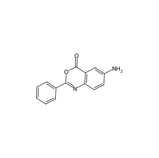 Nc1ccc2nc(-c3ccccc3)oc(=O)c2c1